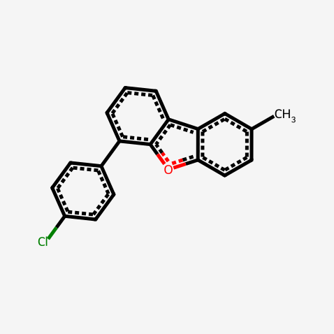 Cc1ccc2oc3c(-c4ccc(Cl)cc4)cccc3c2c1